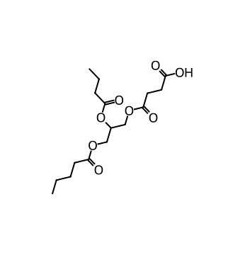 CCCCC(=O)OCC(COC(=O)CCC(=O)O)OC(=O)CCC